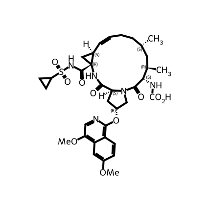 COc1ccc2c(O[C@@H]3C[C@H]4C(=O)N[C@]5(C(=O)NS(=O)(=O)C6CC6)C[C@H]5C=CCC[C@H](C)C[C@@H](C)[C@H](NC(=O)O)C(=O)N4C3)ncc(OC)c2c1